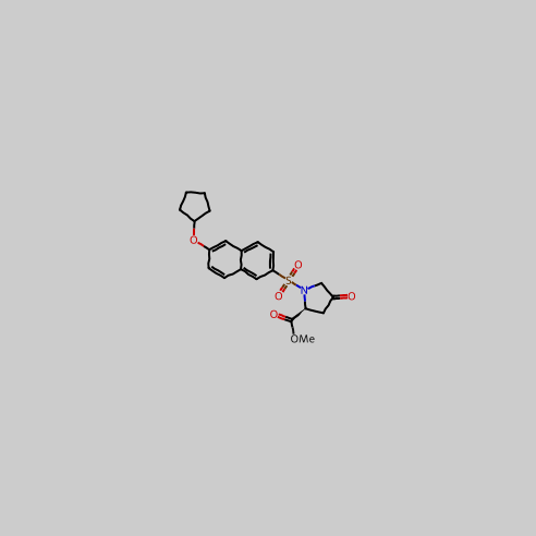 COC(=O)[C@@H]1CC(=O)CN1S(=O)(=O)c1ccc2cc(OC3CCCC3)ccc2c1